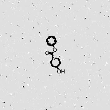 O=C(Oc1ccccc1)N1CCC(O)CC1